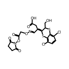 O=C(O)CC(/C=N/OCC(=O)ON1C(=O)CCC1=O)=C1/Sc2c(Cl)ccc(Cl)c2SC1CO